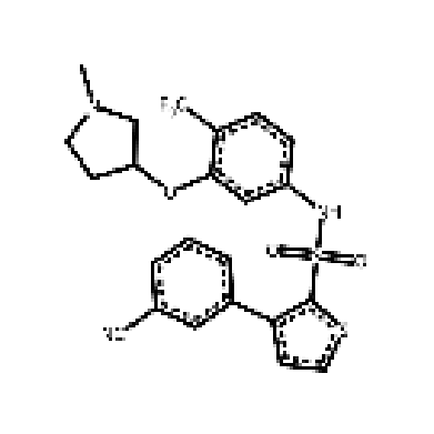 CN1CCC(Oc2cc(NS(=O)(=O)c3sccc3-c3cccc(C#N)c3)ccc2C(F)(F)F)C1